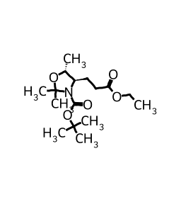 CCOC(=O)CC[C@@H]1[C@@H](C)OC(C)(C)N1C(=O)OC(C)(C)C